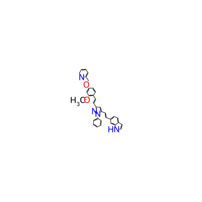 COc1cc(OCc2ccccn2)ccc1C=Cc1cc(C=Cc2ccc3cc[nH]c3c2)n(-c2ccccc2)n1